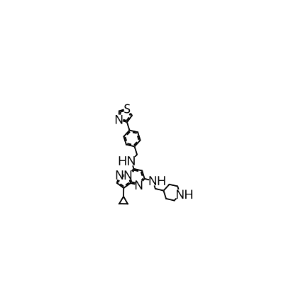 c1nc(-c2ccc(CNc3cc(NCC4CCNCC4)nc4c(C5CC5)cnn34)cc2)cs1